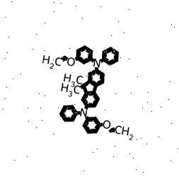 C=COc1cccc(N(c2ccccc2)c2ccc3c(c2)C(C)(C)c2cc(N(c4ccccc4)c4cccc(OC=C)c4)ccc2-3)c1